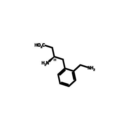 NCc1ccccc1C[C@@H](N)CC(=O)O